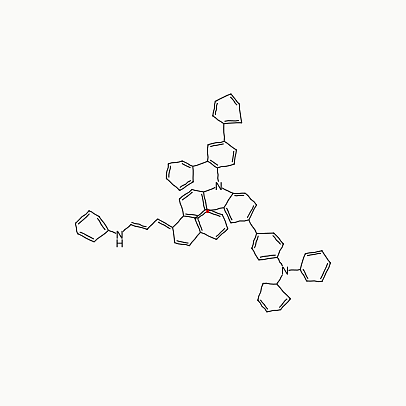 C1=CCC(N(c2ccccc2)c2ccc(-c3ccc4c(c3)c3cc(C(/C=C\c5ccccc5)=C/C=C/Nc5ccccc5)ccc3n4-c3ccc(-c4ccccc4)cc3-c3ccccc3)cc2)C=C1